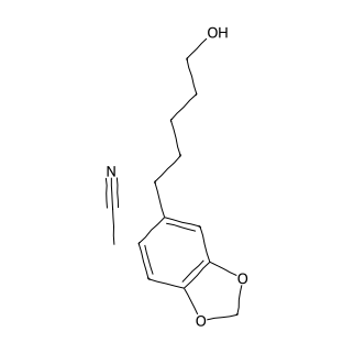 CC#N.OCCCCCc1ccc2c(c1)OCO2